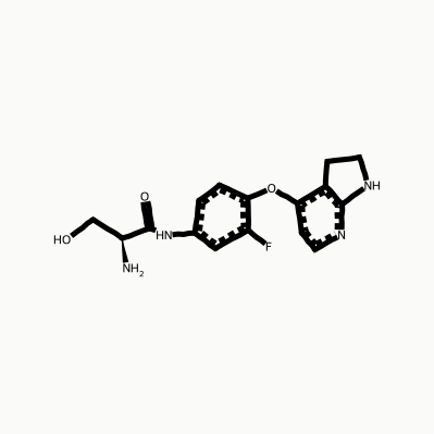 N[C@@H](CO)C(=O)Nc1ccc(Oc2ccnc3c2CCN3)c(F)c1